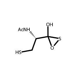 CC(=O)N[C@@H](CS)C1(O)OS1